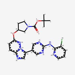 CC(C)(C)OC(=O)N1CCC(Oc2ccc3ncc(-c4cnc(Nc5ncccc5F)nc4)n3n2)C1